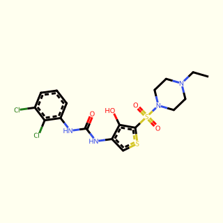 CCN1CCN(S(=O)(=O)c2scc(NC(=O)Nc3cccc(Cl)c3Cl)c2O)CC1